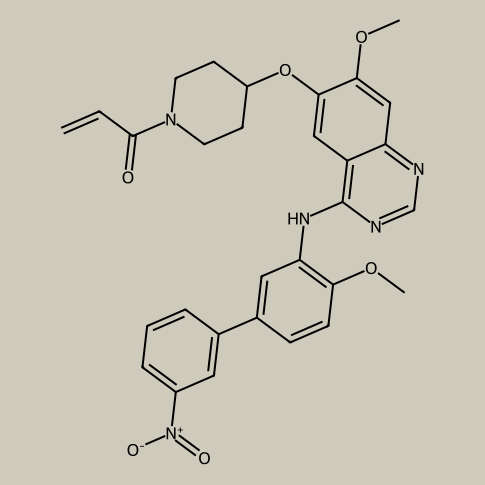 C=CC(=O)N1CCC(Oc2cc3c(Nc4cc(-c5cccc([N+](=O)[O-])c5)ccc4OC)ncnc3cc2OC)CC1